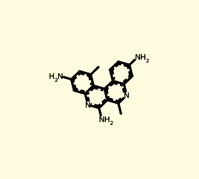 Cc1nc2cc(N)ccc2c2c1c(N)nc1cc(N)cc(C)c12